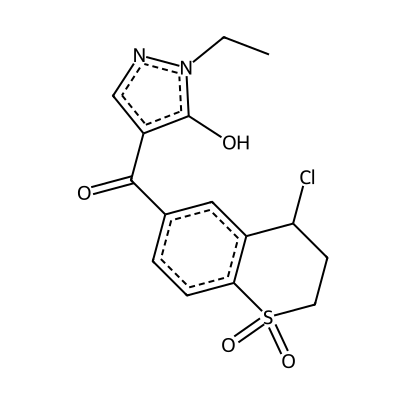 CCn1ncc(C(=O)c2ccc3c(c2)C(Cl)CCS3(=O)=O)c1O